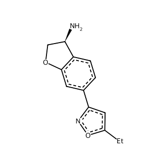 CCc1cc(-c2ccc3c(c2)OC[C@H]3N)no1